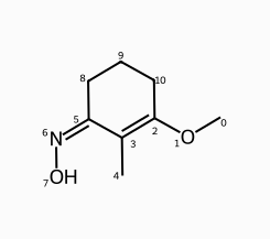 COC1=C(C)/C(=N\O)CCC1